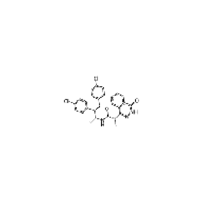 CC(C(=O)N[C@H](C)[C@H](Cc1ccc(Cl)cc1)c1ccc(Cl)cc1)c1n[nH]c(=O)c2ccccc12